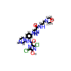 COc1nc(Cl)c(C(=O)Nc2cc(-n3cc(C(=O)NCCCN4CCOCC4)nn3)ccc2N2CCN(C)CC2)nc1Cl